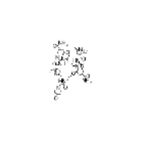 CCn1nc(C)cc1C(=O)Nc1nc2cc(C(N)=O)cc(OCCCNC(=O)CN3CCC(OC)CC3)c2n1CCC[C@H]1COc2cc(C(N)=O)cc3nc(NC(=O)c4cc(C)nn4CC)n1c23